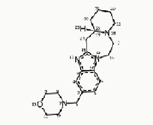 c1cc2c(cc1CN1CCOCC1)nc1n2CCN2CCCC[C@H]2C1